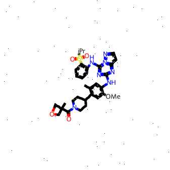 COc1cc(C2CCN(C(=O)C3(C)COC3)CC2)c(C)cc1Nc1nc(Nc2ccccc2S(=O)(=O)C(C)C)n2nccc2n1